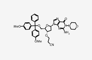 COc1ccc(C(OC[C@H]2O[C@@H](n3cnc4c(=O)n(N5CCOCC5)c(N)nc43)C[C@@H]2OCCC#N)(c2ccccc2)c2ccc(OC)cc2)cc1